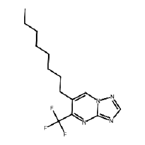 CCCCCCCCc1[c]n2ncnc2nc1C(F)(F)F